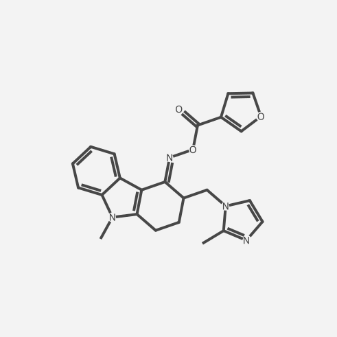 Cc1nccn1CC1CCc2c(c3ccccc3n2C)C1=NOC(=O)c1ccoc1